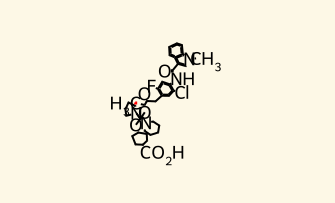 CC(OC(O[C@H]1CC[C@H](C(=O)O)CC1)(N1CCCCC1)N1CCCC1)C(=O)Cc1cc(Cl)c(NC(=O)c2cn(C)c3ccccc23)cc1F